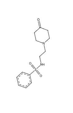 O=C1CCN(CCNS(=O)(=O)c2ccccc2)CC1